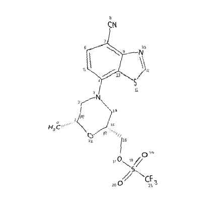 C[C@@H]1CN(c2ccc(C#N)c3ncsc23)C[C@H](COS(=O)(=O)C(F)(F)F)O1